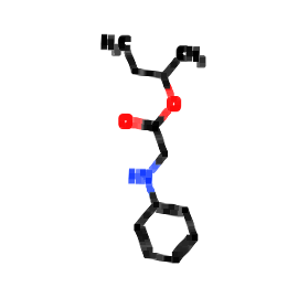 CCC(C)OC(=O)CNc1ccccc1